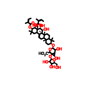 C/C=C(/C)C(=O)O[C@H]1[C@H](OC(=O)/C(C)=C\C)[C@@]2(CO)C(CC1(C)C)C1=CCC3[C@@]4(C)CC[C@H](O[C@@H]5OC(C(=O)O)C6(O[C@@H]7O[C@@H](CO)C(O)C7O)C(C5O)[C@@H]6O)C(C)(C)C4CC[C@@]3(C)[C@]1(C)[C@@H](O)[C@H]2O